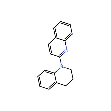 c1ccc2c(c1)CCCN2c1ccc2ccccc2n1